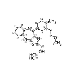 COCC[C@H]1CN(C2=Nc3ccccc3Nc3sc(CO)nc32)CCN1C.Cl.Cl